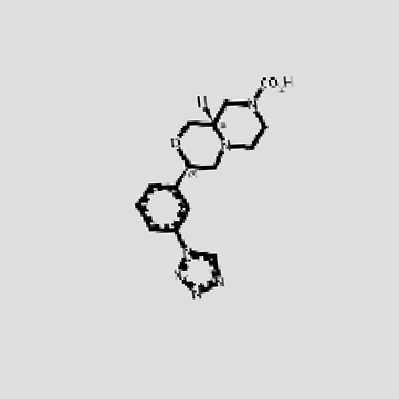 O=C(O)N1CCN2C[C@@H](c3cccc(-n4cnnn4)c3)OC[C@@H]2C1